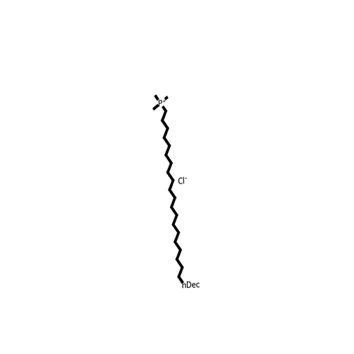 CCCCCCCCCCCCCCCCCCCCCCCCCCCCCC[P+](C)(C)C.[Cl-]